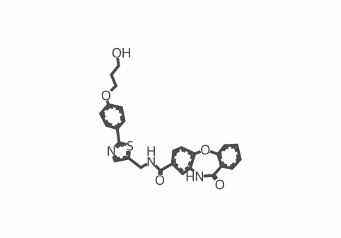 O=C(NCc1cnc(-c2ccc(OCCCO)cc2)s1)c1ccc2c(c1)NC(=O)c1ccccc1O2